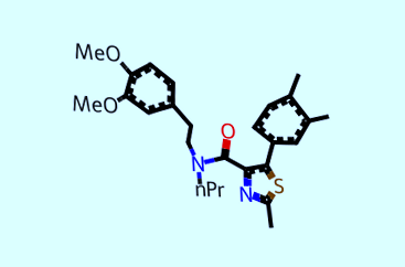 CCCN(CCc1ccc(OC)c(OC)c1)C(=O)c1nc(C)sc1-c1ccc(C)c(C)c1